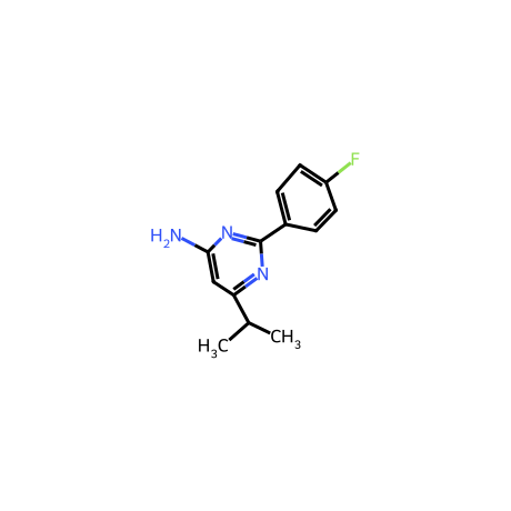 CC(C)c1cc(N)nc(-c2ccc(F)cc2)n1